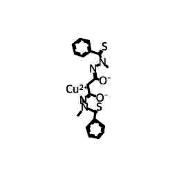 CN(N=C([O-])CC([O-])=NN(C)C(=S)c1ccccc1)C(=S)c1ccccc1.[Cu+2]